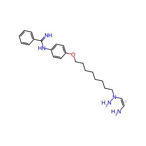 N=C(Nc1ccc(OCCCCCCCCN(N)/C=C\N)cc1)c1ccccc1